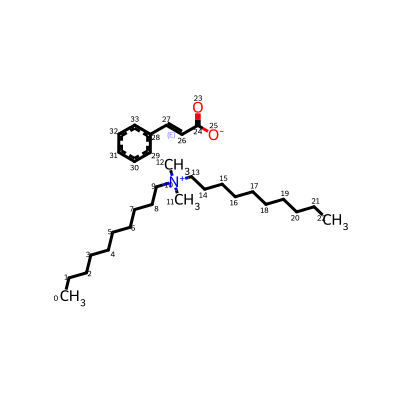 CCCCCCCCCC[N+](C)(C)CCCCCCCCCC.O=C([O-])/C=C/c1ccccc1